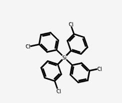 Clc1cccc([Si](c2cccc(Cl)c2)(c2cccc(Cl)c2)c2cccc(Cl)c2)c1